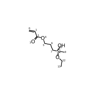 C=CC(=O)OCCC[Si](C)(O)OCC